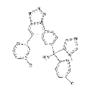 Cn1cncc1C(N)(c1ccc(Cl)cc1)c1ccc2c(c1)c(-c1cccc(Cl)c1)cc1nnnn12